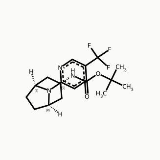 CC(C)(C)OC(=O)N[C@@H]1C[C@H]2CC[C@@H](C1)N2c1ccc(C(F)(F)F)cn1